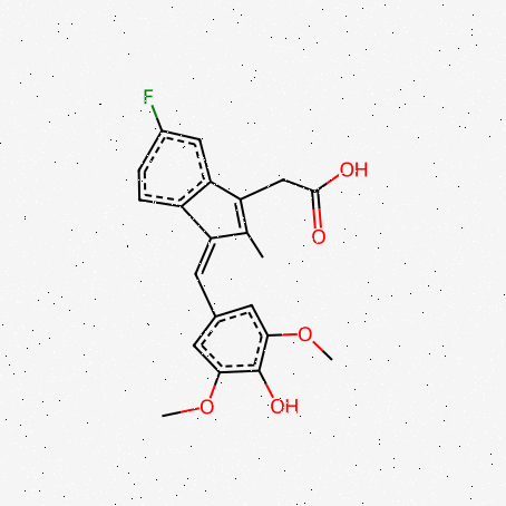 COc1cc(C=C2C(C)=C(CC(=O)O)c3cc(F)ccc32)cc(OC)c1O